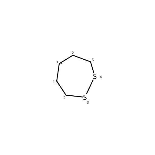 [CH]1CCSSCC1